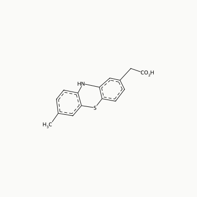 Cc1ccc2c(c1)Sc1ccc(CC(=O)O)cc1N2